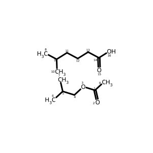 CC(=O)OCC(C)C.CC(C)CCCC(=O)O